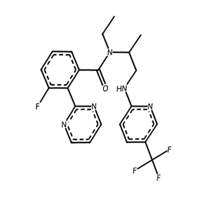 CCN(C(=O)c1cccc(F)c1-c1ncccn1)C(C)CNc1ccc(C(F)(F)F)cn1